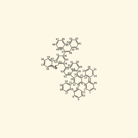 c1ccc(-c2c(-c3ccccc3)c(-c3ccccc3)c3c(c2-c2ccccc2)-c2cccc4c(-c5cc(-c6cc7ccccc7c7ccccc67)cc6c5sc5ccccc56)ccc-3c24)cc1